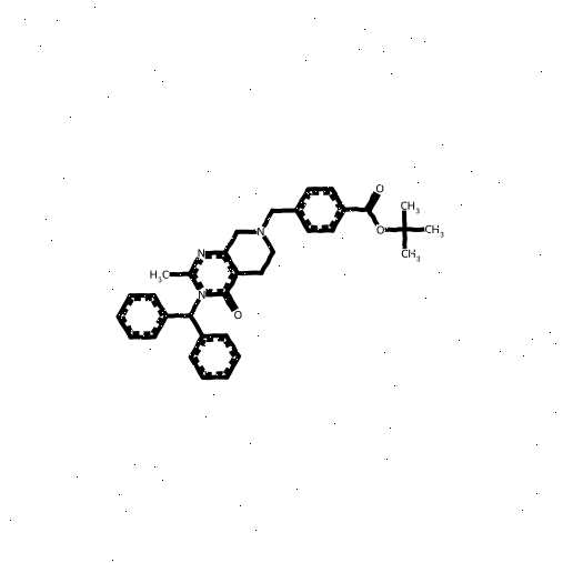 Cc1nc2c(c(=O)n1C(c1ccccc1)c1ccccc1)CCN(Cc1ccc(C(=O)OC(C)(C)C)cc1)C2